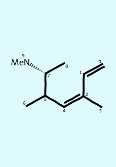 C=C/C(C)=C\C(C)[C@@H](C)NC